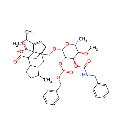 CO[C@H]1[C@@H](OC(=O)NCc2ccccc2)[C@H](OC(=O)OCc2ccccc2)[C@H](OCC23CC4C(C)CCC4C4(C=O)CC2C=C(C(C)C)C43C(=O)O)O[C@@H]1C